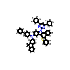 CC1(C)c2ccccc2-c2ccc(N(c3ccc(-c4ccccc4)cc3)c3ccc4c(c3)c3c5sc6ccccc6c5c5ccccc5c3n4-c3nc(C4=CCCC=C4)cc(C4=CC=CCC4)n3)cc21